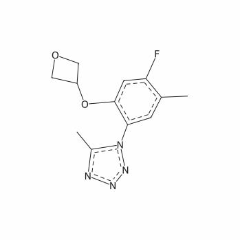 Cc1cc(-n2nnnc2C)c(OC2COC2)cc1F